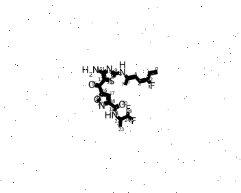 C=C/C(F)=C\C=C(/C)Nc1nc(N)c(C(=O)c2cc(C(=O)NC(C)C(F)F)no2)s1